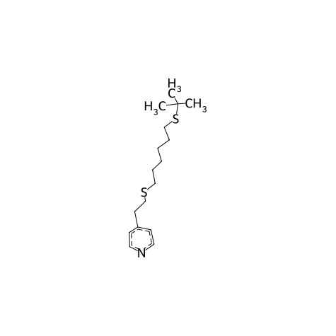 CC(C)(C)SCCCCCCSCCc1ccncc1